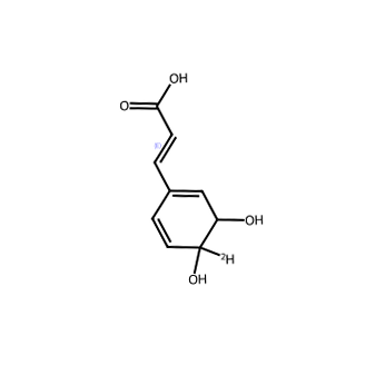 [2H]C1(O)C=CC(/C=C/C(=O)O)=CC1O